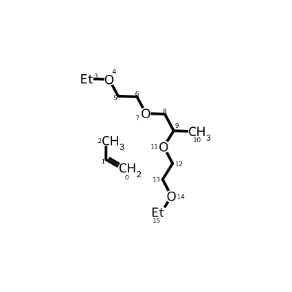 C=CC.CCOCCOCC(C)OCCOCC